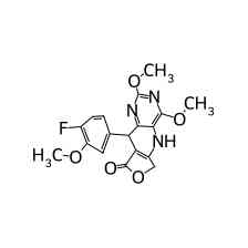 COc1nc(OC)c2c(n1)C(c1ccc(F)c(OC)c1)C1=C(COC1=O)N2